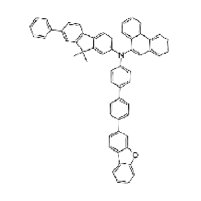 CC1(C)c2cc(-c3ccccc3)ccc2-c2ccc(N(c3ccc(-c4ccc(-c5ccc6c(c5)oc5ccccc56)cc4)cc3)c3cc4ccccc4c4ccccc34)cc21